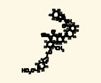 Cc1c(OCCCC2(F)CCN(CC(=O)O)CC2)cccc1-c1ccc(N2CCc3cccc(C(=O)Nc4nc5ccccc5s4)c3C2)nc1C(=O)OC(C)(C)C